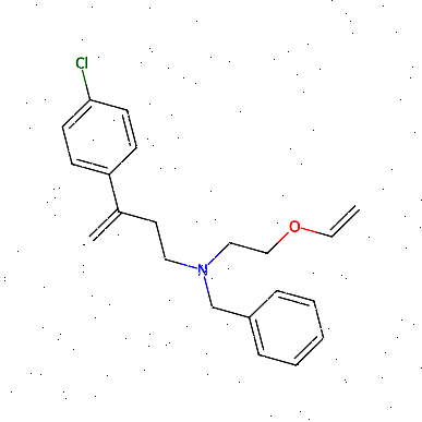 C=COCCN(CCC(=C)c1ccc(Cl)cc1)Cc1ccccc1